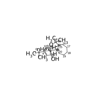 CCCCCCC(C)(C)c1cc(O)c2c(c1)OC(C)(C)[C@@H]1CCCCC[C@@H]21